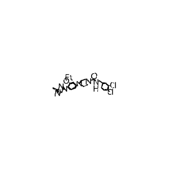 CCOc1cc(N2CCN(C(=O)NCc3ccc(Cl)c(Cl)c3)CC2)ccc1-n1cnc(C)n1